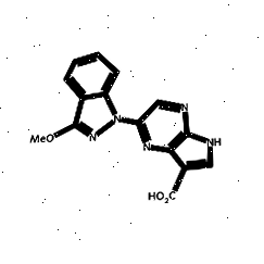 COc1nn(-c2cnc3[nH]cc(C(=O)O)c3n2)c2ccccc12